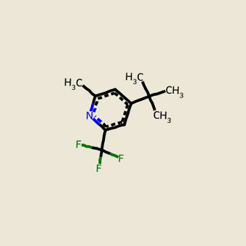 Cc1cc(C(C)(C)C)cc(C(F)(F)F)n1